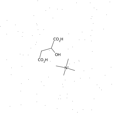 C[N+](C)(C)C.O=C(O)CC(O)C(=O)O